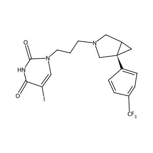 O=c1[nH]c(=O)n(CCCN2CC3C[C@]3(c3ccc(C(F)(F)F)cc3)C2)cc1I